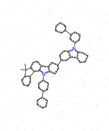 CC1(C)c2ccccc2-c2c1ccc1c3cc(-c4ccc5c(c4)c4ccccc4n5-c4cccc(-c5ccccc5)c4)ccc3n(-c3ccc(-c4ccccc4)cc3)c21